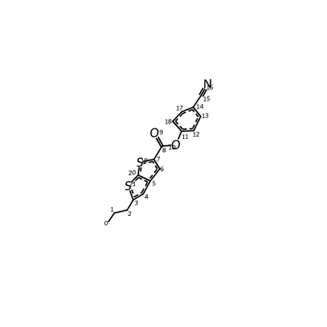 CCCc1cc2cc(C(=O)Oc3ccc(C#N)cc3)sc2s1